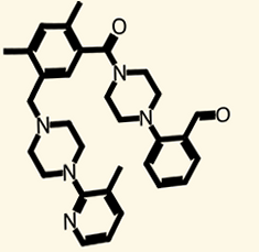 Cc1cc(C)c(C(=O)N2CCN(c3ccccc3C=O)CC2)cc1CN1CCN(c2ncccc2C)CC1